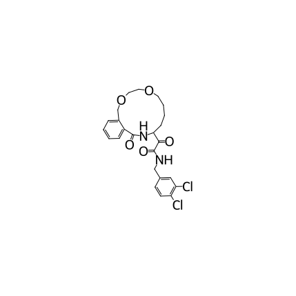 O=C(NCc1ccc(Cl)c(Cl)c1)C(=O)C1CCCCOCCOCc2ccccc2C(=O)N1